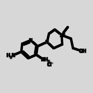 C[N+]1(CCO)CCN(c2ncc(N)cc2N)CC1.[Cl-]